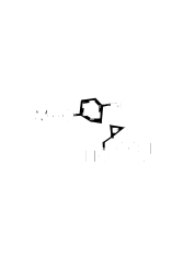 COc1ccc(Br)c([C@@H]2C[C@@]2(CO)C(=O)O)c1